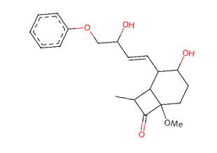 COC12CCC(O)C(C=CC(O)COc3ccccc3)C1C(C)C2=O